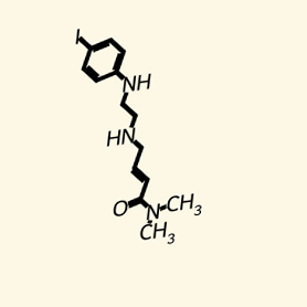 CN(C)C(=O)/C=C/CNCCNc1ccc(I)cc1